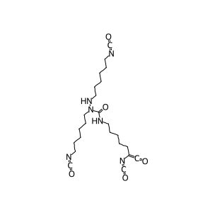 O=C=NCCCCCCNN(CCCCCCN=C=O)C(=O)NCCCCCC(=C=O)N=C=O